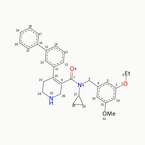 CCOc1cc(CN(C(=O)C2=C(c3cccc(-c4ccccc4)c3)CCNC2)C2CC2)cc(OC)c1